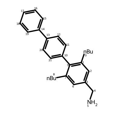 CCCCc1cc(CN)cc(CCCC)c1-c1ccc(-c2ccccc2)cc1